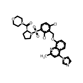 Cc1cc(-n2ccnc2)c2cccc(OCc3c(Cl)ccc(S(=O)(=O)N4CCC[C@H]4C(=O)N4CCOCC4)c3Cl)c2n1